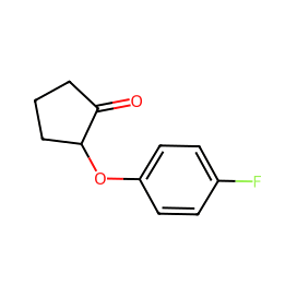 O=C1CCCC1Oc1ccc(F)cc1